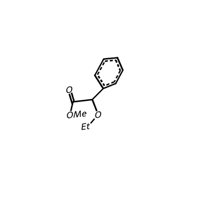 CCOC(C(=O)OC)c1ccccc1